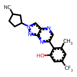 Cc1cc(C(F)(F)F)cc(O)c1-c1cnc2cn(C3CCC(C#N)C3)nc2n1